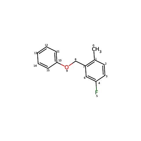 Cc1ccc(F)cc1COc1cc[c]cc1